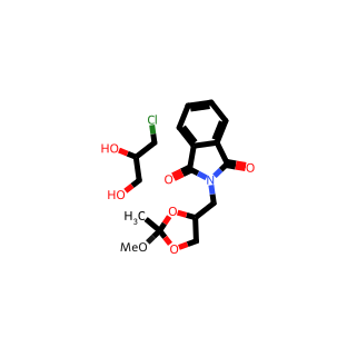 COC1(C)OCC(CN2C(=O)c3ccccc3C2=O)O1.OCC(O)CCl